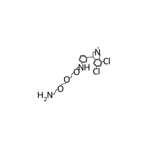 CN1Cc2c(Cl)cc(Cl)cc2C(c2cccc(NCOCCOCCOCCN)c2)C1